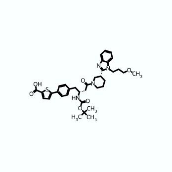 COCCCn1c([C@@H]2CCCN(C(=O)C[C@@H](Cc3ccc(-c4ccc(C(=O)O)s4)cc3)NC(=O)OC(C)(C)C)C2)nc2ccccc21